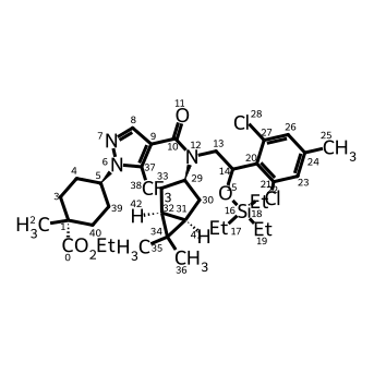 CCOC(=O)[C@]1(C)CC[C@@H](n2ncc(C(=O)N(CC(O[Si](CC)(CC)CC)c3c(Cl)cc(C)cc3Cl)[C@H]3C[C@@H]4[C@H](C3)C4(C)C)c2C(F)(F)F)CC1